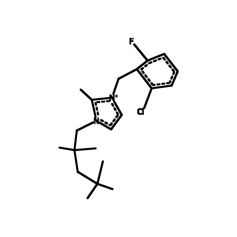 Cc1n(CC(C)(C)CC(C)(C)C)cc[n+]1Cc1c(F)cccc1Cl